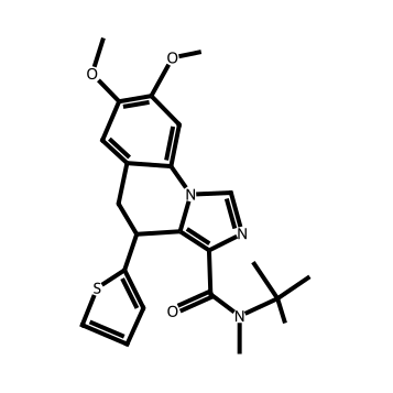 COc1cc2c(cc1OC)-n1cnc(C(=O)N(C)C(C)(C)C)c1C(c1cccs1)C2